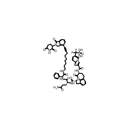 NC(=O)CC[C@H](NC(=O)[C@@H]1Cc2cccc3c2N1C(=O)[C@@H](NC(=O)c1cn2cc(C(F)(F)P(=O)(O)O)ccc2n1)CC3)C(=O)N[C@H](C(=O)NCCCCCCCC#Cc1cccc2c1CN(C1CCC(=O)NC1=O)C2=O)c1ccccc1